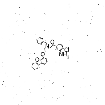 Nc1cc(C(=O)CN(CCOc2cccc3c4c(oc23)CCCC4)Cc2ccccc2)ccc1Cl